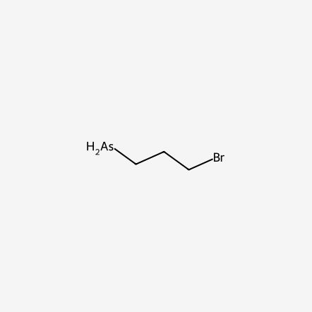 [AsH2]CCCBr